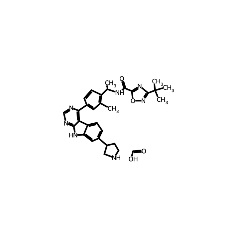 Cc1cc(-c2ncnc3[nH]c4cc(C5CCNC5)ccc4c23)ccc1[C@@H](C)NC(=O)c1nc(C(C)(C)C)no1.O=CO